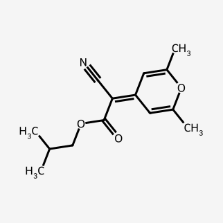 CC1=CC(=C(C#N)C(=O)OCC(C)C)C=C(C)O1